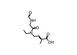 CCN(C/C=C(\C)C(=O)O)C(=O)CNC=O